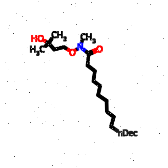 CCCCCCCCCCCCCCCCCCCC(=O)N(C)OCCC(C)(C)O